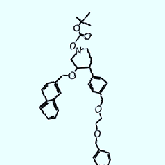 CC(C)(C)OC(=O)ON1CCC(c2ccc(COCCOCc3ccccc3)cc2)C(OCc2ccc3ccccc3c2)C1